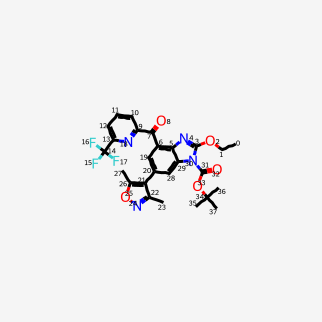 CCOc1nc2c(C(=O)c3cccc(C(F)(F)F)n3)cc(-c3c(C)noc3C)cc2n1C(=O)OC(C)(C)C